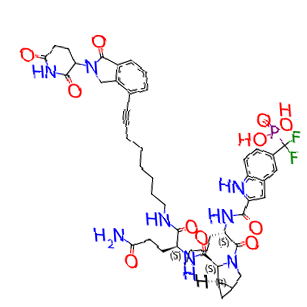 CCCC[C@H](NC(=O)c1cc2cc(C(F)(F)P(=O)(O)O)ccc2[nH]1)C(=O)N1CC2C[C@H]2[C@H]1C(=O)N[C@@H](CCC(N)=O)C(=O)NCCCCCCC#Cc1cccc2c1CN(C1CCC(=O)NC1=O)C2=O